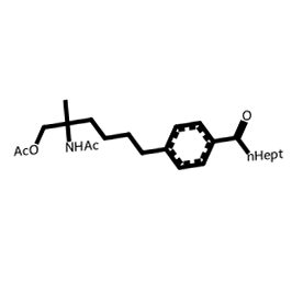 CCCCCCCC(=O)c1ccc(CCCCC(C)(COC(C)=O)NC(C)=O)cc1